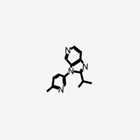 Cc1ccc(-n2c(C(C)C)nc3ccncc32)cn1